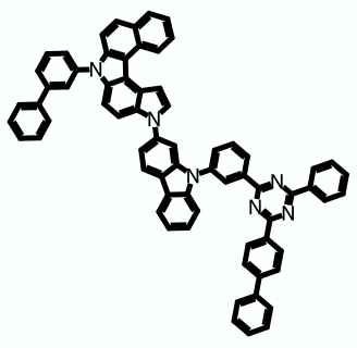 c1ccc(-c2ccc(-c3nc(-c4ccccc4)nc(-c4cccc(-n5c6ccccc6c6ccc(-n7ccc8c9c%10c%11ccccc%11ccc%10n(-c%10cccc(-c%11ccccc%11)c%10)c9ccc87)cc65)c4)n3)cc2)cc1